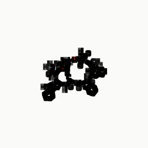 CC1C(=O)NC(Cc2cnc[nH]2)C(=O)N[C@H](Cc2ccccc2)C(=O)NC2CCC(NC(=N)N)(NCC(C(N)=O)NC(=O)[C@H](Cc3c[nH]c4ccccc34)NC2=O)C(=O)CC[C@@H]2NC(=O)N1C2=O